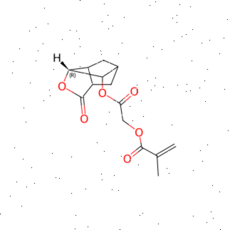 C=C(C)C(=O)OCC(=O)OC1C2CC3C(=O)O[C@@H]1C3C2